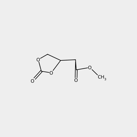 COC(=O)CC1COC(=O)O1